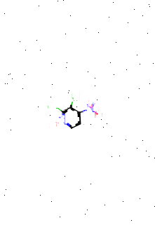 O=[N+]([O-])c1cc[n+]([O-])c(Cl)c1Cl